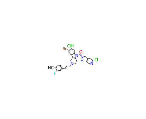 Cl.N#Cc1ccc(/C=C/CN2CCc3c(c4cc(Br)ccc4n3C(=O)NCc3ccnc(Cl)c3)C2)cc1F